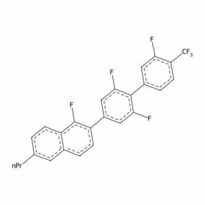 CCCc1ccc2c(F)c(-c3cc(F)c(-c4ccc(C(F)(F)F)c(F)c4)c(F)c3)ccc2c1